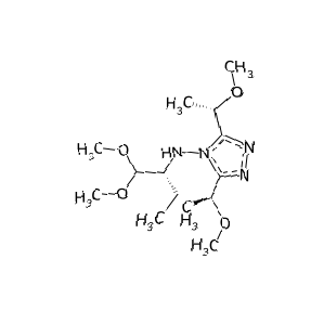 CC[C@@H](Nn1c([C@H](C)OC)nnc1[C@H](C)OC)C(OC)OC